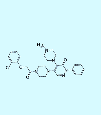 CN1CCN(c2c(N3CCN(C(=O)COc4ccccc4Cl)CC3)cnn(-c3ccccc3)c2=O)CC1